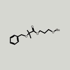 CCC(C)OCCCOC(=O)C(C)(C)OCc1ccccc1